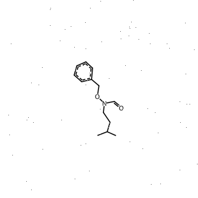 CC(C)CCN(C=O)OCc1ccccc1